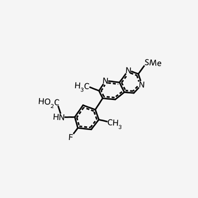 CSc1ncc2cc(-c3cc(NC(=O)O)c(F)cc3C)c(C)nc2n1